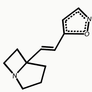 C(=CC12CCCN1CC2)c1ccno1